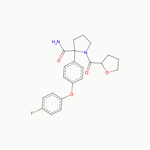 NC(=O)C1(c2ccc(Oc3ccc(F)cc3)cc2)CCCN1C(=O)C1CCCO1